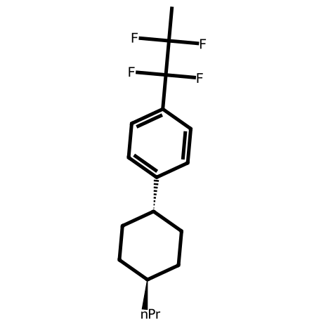 CCC[C@H]1CC[C@H](c2ccc(C(F)(F)C(C)(F)F)cc2)CC1